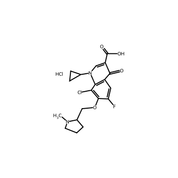 CN1CCCC1COc1c(F)cc2c(=O)c(C(=O)O)cn(C3CC3)c2c1Cl.Cl